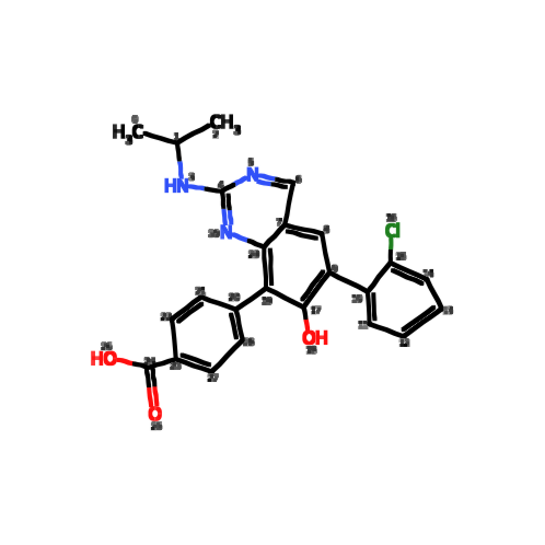 CC(C)Nc1ncc2cc(-c3ccccc3Cl)c(O)c(-c3ccc(C(=O)O)cc3)c2n1